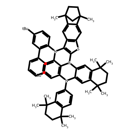 CC(C)(C)c1ccc(N2c3cc(C(C)(C)C)cc4c3B(c3cc5c(cc3N4c3ccc4c(c3)C(C)(C)CCC4(C)C)C(C)(C)CCC5(C)C)c3sc4cc5c(cc4c32)C2(C)CCC5(C)C2)c(-c2ccccc2)c1